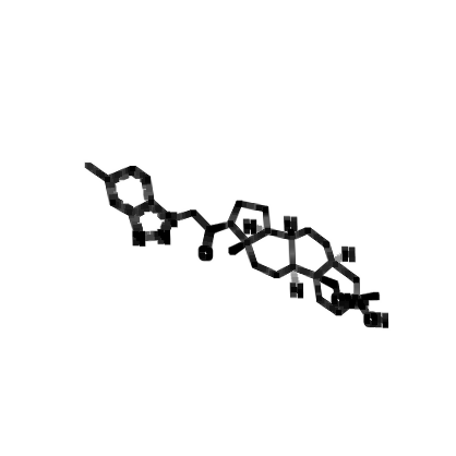 COC[C@]12CC[C@@](C)(O)C[C@@H]1CC[C@H]1[C@@H]3CC[C@H](C(=O)Cn4nnc5cc(C)ccc54)[C@@]3(C)CC[C@@H]12